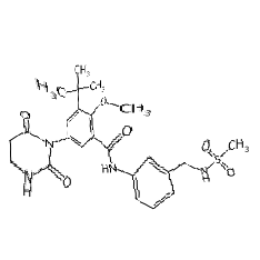 COc1c(C(=O)Nc2cccc(CNS(C)(=O)=O)c2)cc(N2C(=O)CCNC2=O)cc1C(C)(C)C